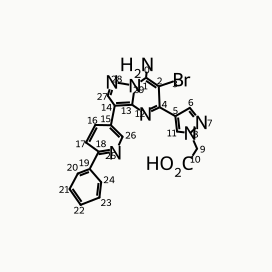 Nc1c(Br)c(-c2cnn(CC(=O)O)c2)nc2c(-c3ccc(-c4ccccc4)nc3)cnn12